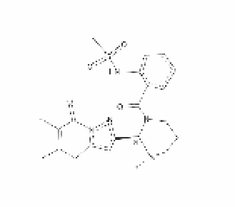 CC1=C(C)C(=O)n2nc([C@@H]3[C@@H](C)CCCN3C(=O)c3cc(C)ccc3NS(C)(=O)=O)cc2C1